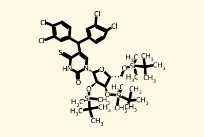 CC(C)(C)[Si](C)(C)OC[C@H]1O[C@@H](n2cc(C(c3ccc(Cl)c(Cl)c3)c3ccc(Cl)c(Cl)c3)c(=S)[nH]c2=O)[C@H](O[Si](C)(C)C(C)(C)C)[C@@H]1O[Si](C)(C)C(C)(C)C